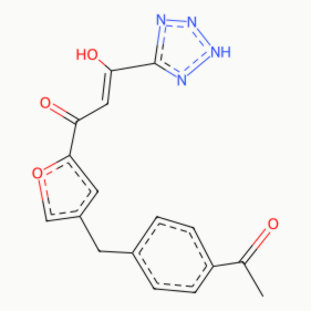 CC(=O)c1ccc(Cc2coc(C(=O)C=C(O)c3nn[nH]n3)c2)cc1